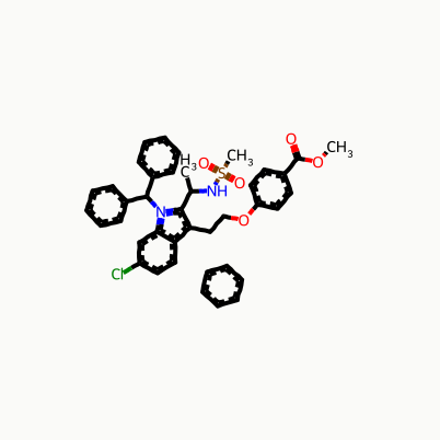 COC(=O)c1ccc(OCCc2c(C(C)NS(C)(=O)=O)n(C(c3ccccc3)c3ccccc3)c3cc(Cl)ccc23)cc1.c1ccccc1